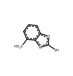 O=S(=O)(O)c1cccc2oc(S)nc12